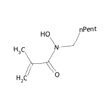 C=C(C)C(=O)N(O)CCCCCC